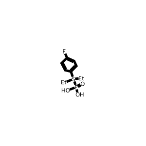 CCS(CC)(c1ccc(F)cc1)P(=O)(O)O